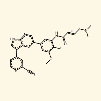 COc1cc(-c2cnc3[nH]cc(-c4ccnc(C#N)c4)c3c2)cc(NC(=O)/C=C/CN(C)C)c1F